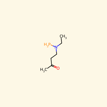 CCN(P)CCC(C)=O